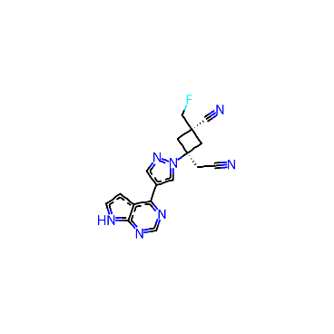 N#CC[C@]1(n2cc(-c3ncnc4[nH]ccc34)cn2)C[C@@](C#N)(CF)C1